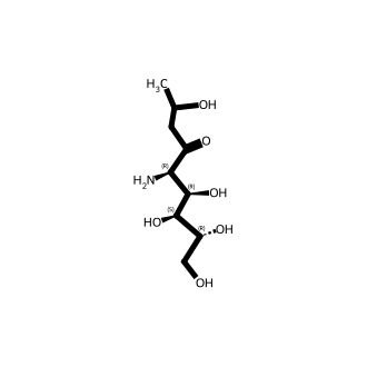 CC(O)CC(=O)[C@H](N)[C@@H](O)[C@H](O)[C@H](O)CO